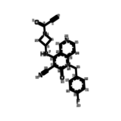 C#CC(=O)N1CC(Nc2c(C#N)c(=O)n(Cc3ccc(F)cc3)c3ccncc23)C1